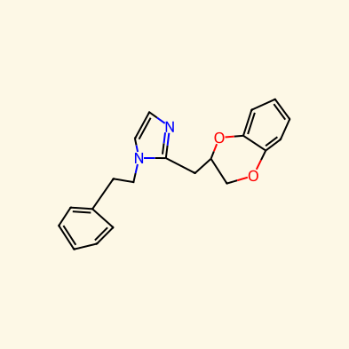 c1ccc(CCn2ccnc2CC2COc3ccccc3O2)cc1